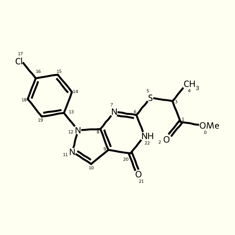 COC(=O)C(C)Sc1nc2c(cnn2-c2ccc(Cl)cc2)c(=O)[nH]1